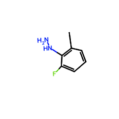 Cc1cccc(F)c1NN